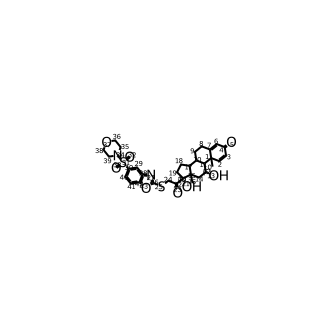 CC12C=CC(=O)C=C1CCC1C2[C@@H](O)CC2(C)C1CC[C@]2(O)C(=O)CSc1nc2cc(S(=O)(=O)N3CCOCC3)ccc2o1